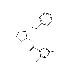 Cc1nc(Br)sc1C(=O)N[C@H]1CCC[C@@H]1OCc1ccccc1